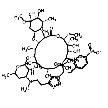 CC[C@H]1OC(=O)[C@H](C)[C@@H](O[C@H]2C[C@@](C)(OC)[C@@H](O)[C@H](C)O2)[C@H](C)[C@@H](O[C@@H]2O[C@H](C)C[C@H](N(C)CCc3cn([C@@H](Cc4ccc([N+](=O)[O-])cc4)C(C)=O)nn3)[C@H]2O)[C@](C)(O)C[C@@H](C)CN(C)[C@H](C)[C@@H](O)[C@]1(C)O